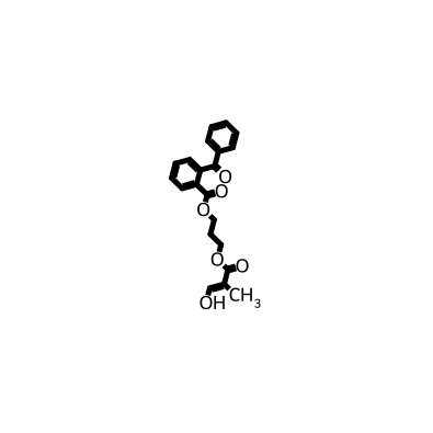 CC(=CO)C(=O)OCCCOC(=O)c1ccccc1C(=O)c1ccccc1